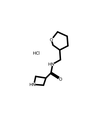 Cl.O=C(NCC1CCCOC1)C1CNC1